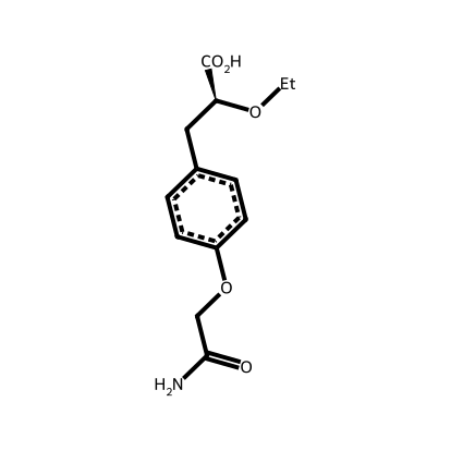 CCO[C@@H](Cc1ccc(OCC(N)=O)cc1)C(=O)O